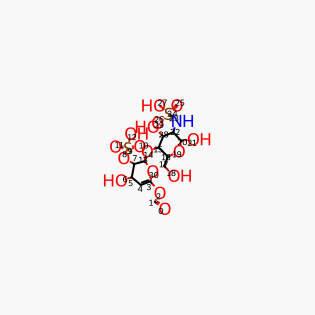 O=COC1=CC(O)C(OS(=O)(=O)O)C(OC2C(CO)OC(O)C(NS(=O)(=O)O)C2O)O1